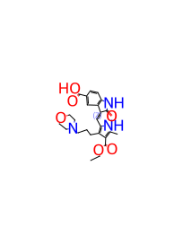 CCOC(=O)c1c(C)[nH]c(/C=C2\C(=O)Nc3ccc(C(=O)O)cc32)c1CCCN1CCOCC1